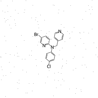 Clc1ccc(N(Cc2ccncc2)c2[c]cc(Br)cn2)cc1